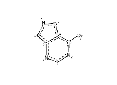 CC(C)c1ncnc2cnoc12